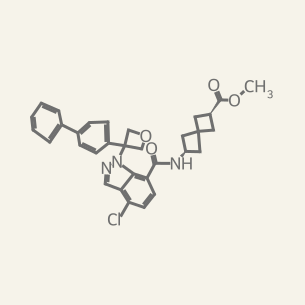 COC(=O)[C@H]1CC2(C[C@H](NC(=O)c3ccc(Cl)c4cnn(C5(c6ccc(-c7ccccc7)cc6)COC5)c34)C2)C1